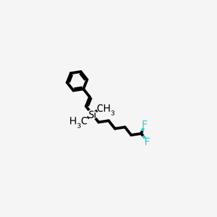 C[Si](C)(C=Cc1ccccc1)CCCCCC(F)F